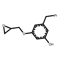 CC(C)Cc1cc(O)cc(OCC2CO2)c1